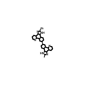 Cc1nc2c3cccnc3c3cc(-c4ccc5c(c4)c4ncccc4c4nc(C(C)C)[nH]c54)ccc3c2[nH]1